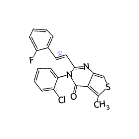 Cc1scc2nc(/C=C/c3ccccc3F)n(-c3ccccc3Cl)c(=O)c12